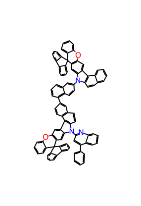 c1ccc(-c2cc(-n3c4cc5c(cc4c4c6ccc(-c7cccc8cc(-n9c%10cc%11c(cc%10c%10c%12ccccc%12ccc%109)Oc9ccccc9C%119c%10ccccc%10-c%10ccccc%109)ccc78)cc6ccc43)Oc3ccccc3C53c4ccccc4-c4ccccc43)nc3ccccc23)cc1